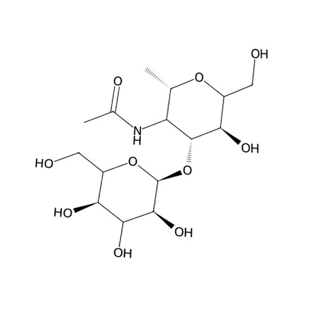 CC(=O)NC1[C@H](C)OC(CO)[C@@H](O)[C@@H]1O[C@@H]1OC(CO)[C@H](O)C(O)[C@@H]1O